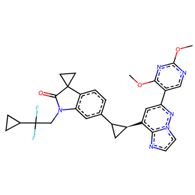 COc1ncc(-c2cc([C@H]3CC3c3ccc4c(c3)N(CC(F)(F)C3CC3)C(=O)C43CC3)c3nccn3n2)c(OC)n1